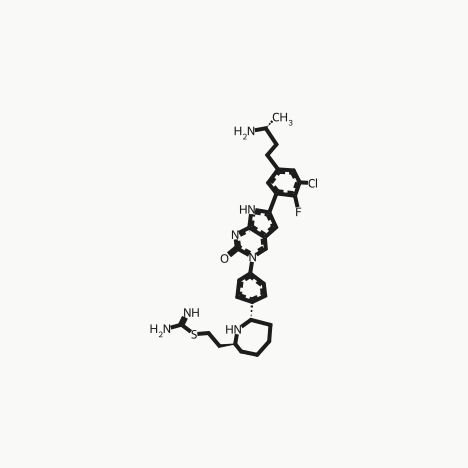 C[C@@H](N)CCc1cc(Cl)c(F)c(-c2cc3cn(-c4ccc([C@@H]5CCCC[C@@H](CCSC(=N)N)N5)cc4)c(=O)nc3[nH]2)c1